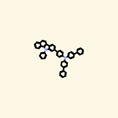 C1=C(c2ccccc2)CCC(N(c2ccc(-c3ccccc3)cc2)c2ccc(-c3ccc4c5ccc6ccccc6c5n(-c5ccccc5)c4c3)cc2)=C1